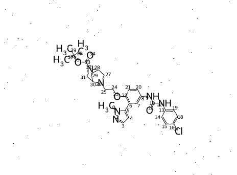 Cn1nccc1-c1cc(NC(=O)Nc2ccc(Cl)cc2)ccc1OCCN1CC2CC1CN2C(=O)OC(C)(C)C